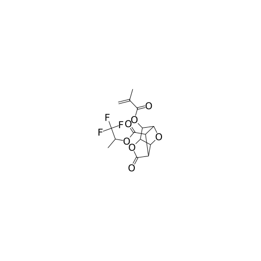 C=C(C)C(=O)OC1C2OC(=O)C3C2OC1C3C(=O)OC(C)C(F)(F)F